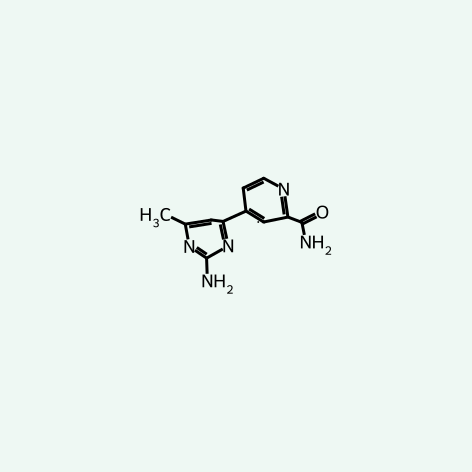 Cc1cc(-c2[c]c(C(N)=O)ncc2)nc(N)n1